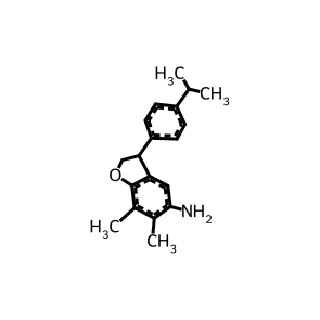 Cc1c(N)cc2c(c1C)OCC2c1ccc(C(C)C)cc1